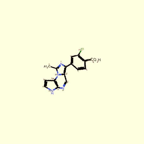 Cc1nc(-c2ccc(C(=O)O)c(Cl)c2)c2cnc3[nH]ccc3n12